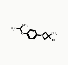 CC(N)Oc1ccc(N2CC(C)(O)C2)cc1